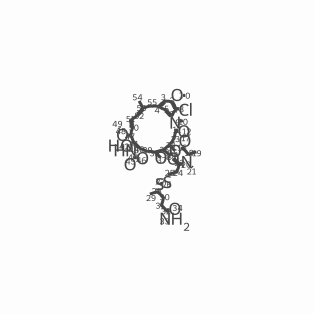 COc1cc2cc(c1Cl)N(C)C(=O)CC(OC(=O)C(C)N(C)C(=O)CCSSC(C)CCC(N)=O)C1(C)OC1C1CC(O)(NC(=O)O1)C(OC)/C=C/C=C(\C)C2